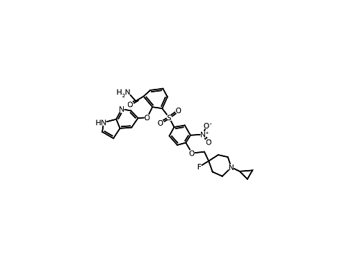 NC(=O)c1cccc(S(=O)(=O)c2ccc(OCC3(F)CCN(C4CC4)CC3)c([N+](=O)[O-])c2)c1Oc1cnc2[nH]ccc2c1